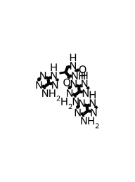 Cc1c[nH]c(=O)[nH]c1=O.Nc1ncnc2[nH]cnc12.Nc1ncnc2[nH]cnc12.Nc1ncnc2[nH]cnc12